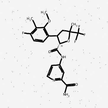 COc1c(C2CC(C)(C(F)(F)F)O[C@@H]2C(=O)Nc2ccnc(C(N)=O)c2)ccc(F)c1C